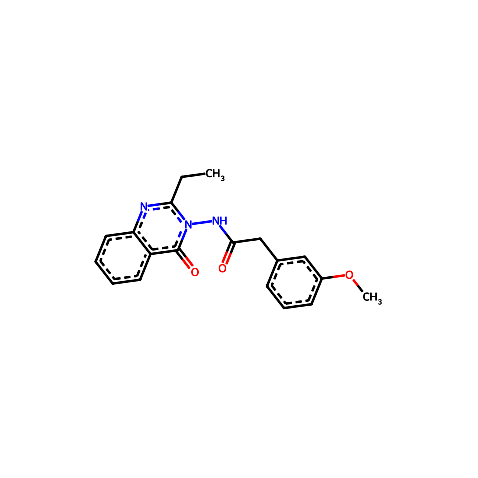 CCc1nc2ccccc2c(=O)n1NC(=O)Cc1cccc(OC)c1